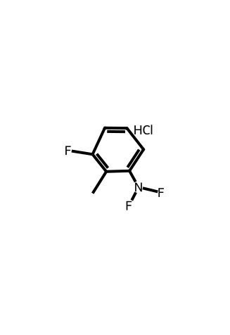 Cc1c(F)cccc1N(F)F.Cl